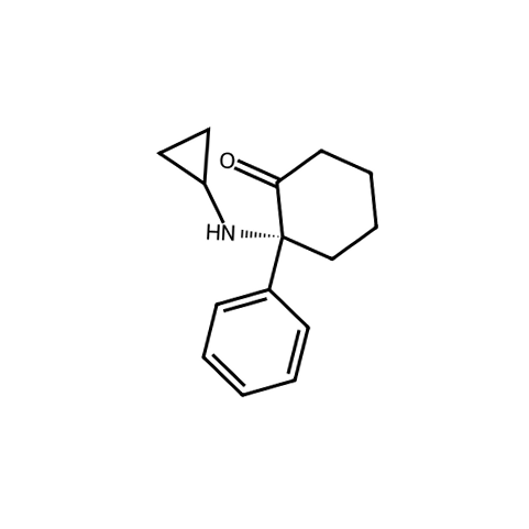 O=C1CCCC[C@@]1(NC1CC1)c1ccccc1